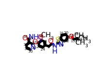 COc1cc(CC(=O)Nc2nc3cc(OCC(C)(C)C)ccc3s2)ccc1Oc1ncccc1C(N)=O